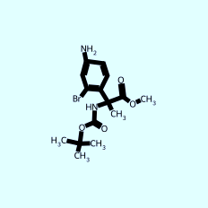 COC(=O)C(C)(NC(=O)OC(C)(C)C)c1ccc(N)cc1Br